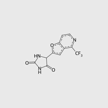 O=C1NC(=O)C(c2cc3c(C(F)(F)F)nccc3o2)N1